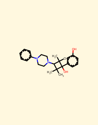 CC1(C)C(N2CCN(c3ccccc3)CC2)C(C)(C)C1(O)c1cccc(O)c1